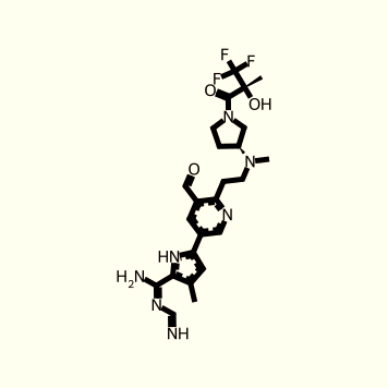 Cc1cc(-c2cnc(CCN(C)[C@@H]3CCN(C(=O)[C@@](C)(O)C(F)(F)F)C3)c(C=O)c2)[nH]c1/C(N)=N\C=N